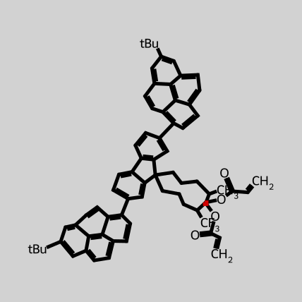 C=CC(=O)OCC(C)CCCC1(CCCC(COC(=O)C=C)C(F)(F)F)c2cc(-c3ccc4ccc5cc(C(C)(C)C)cc6ccc3c4c56)ccc2-c2ccc(-c3ccc4ccc5cc(C(C)(C)C)cc6ccc3c4c56)cc21